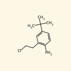 CC(C)(C)c1ccc(P)c(CCCl)c1